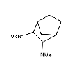 CNC1C2CCC(C2)C1NC